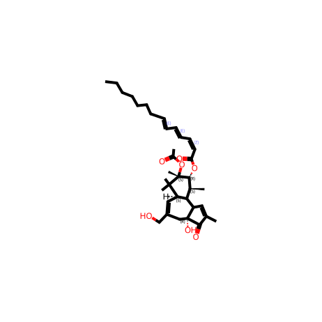 CCCCCCC/C=C/C=C/C=C\C(=O)O[C@@H]1[C@@H](C)C2C3C=C(C)C(=O)[C@@]3(O)CC(CO)=C[C@H]2C(C)(C)[C@]1(C)OC(C)=O